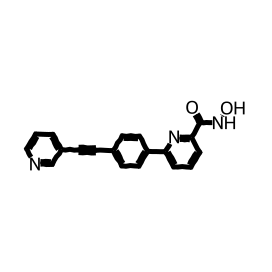 O=C(NO)c1cccc(-c2ccc(C#Cc3cccnc3)cc2)n1